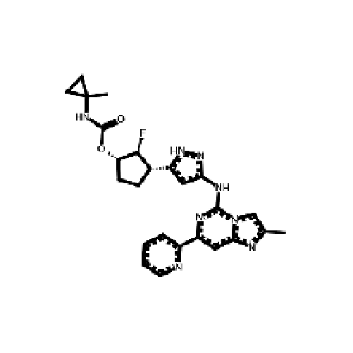 Cc1cn2c(Nc3cc([C@@H]4CC[C@H](OC(=O)NC5(C)CC5)[C@H]4F)[nH]n3)nc(-c3ccccn3)cc2n1